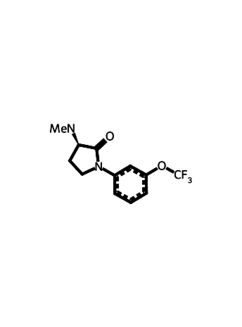 CN[C@@H]1CCN(c2cccc(OC(F)(F)F)c2)C1=O